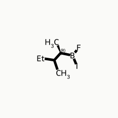 CCC(C)[C@@H](C)B(F)I